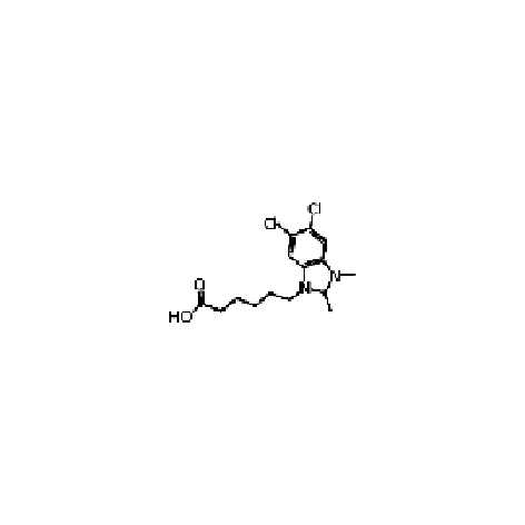 CC1N(C)c2cc(Cl)c(Cl)cc2N1CCCCCC(=O)O